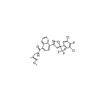 CON=C(C)CNC(=O)c1ccc(C2=NOC(c3cc(Cl)c(F)c(Cl)c3)(C(F)(F)F)C2)c2ccccc12